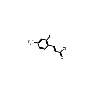 O=C(Cl)/C=C/c1ccc(C(F)(F)F)cc1F